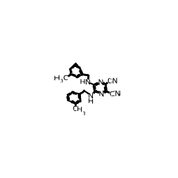 Cc1cccc(CNc2nc(C#N)c(C#N)nc2NCc2cccc(C)c2)c1